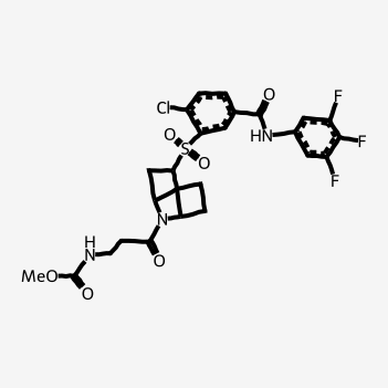 COC(=O)NCCC(=O)N1C2CCC23C1CC3S(=O)(=O)c1cc(C(=O)Nc2cc(F)c(F)c(F)c2)ccc1Cl